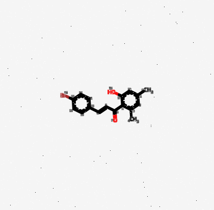 Cc1cc(C)c(C(=O)C=Cc2ccc(Br)cc2)c(O)c1